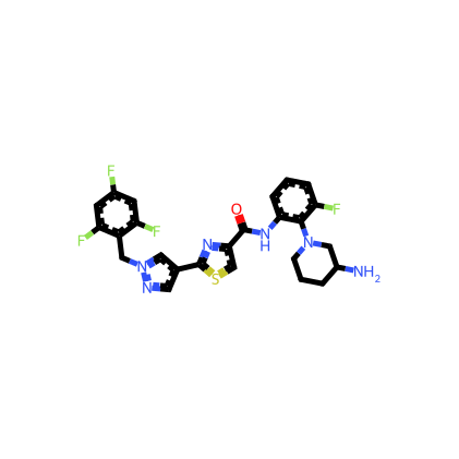 NC1CCCN(c2c(F)cccc2NC(=O)c2csc(-c3cnn(Cc4c(F)cc(F)cc4F)c3)n2)C1